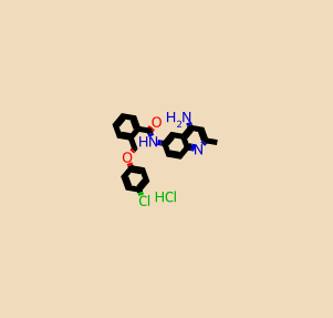 Cc1cc(N)c2cc(NC(=O)c3ccccc3COc3ccc(Cl)cc3)ccc2n1.Cl